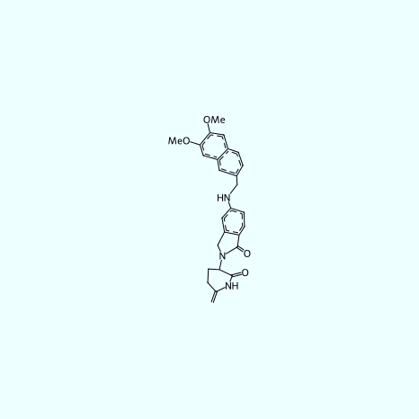 C=C1CCC(N2Cc3cc(NCc4ccc5cc(OC)c(OC)cc5c4)ccc3C2=O)C(=O)N1